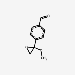 COC1(c2ccc(C=O)cc2)CO1